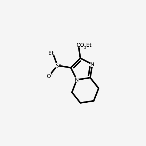 CCOC(=O)c1nc2n(c1[S+]([O-])CC)CCCC2